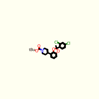 CC(C)(C)OC(=O)N1CC=C(c2cccc3c2OC(C)(c2ccc(Cl)cc2Cl)O3)CC1